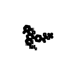 Cc1cccc(F)c1N1Cc2cnc(N)nc2N([C@H]2CC[C@@H](N(C)C(=O)OC(C)(C)C)CC2)C1=O